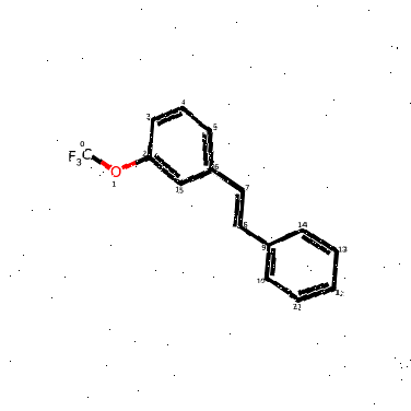 FC(F)(F)Oc1[c]ccc(C=Cc2ccccc2)c1